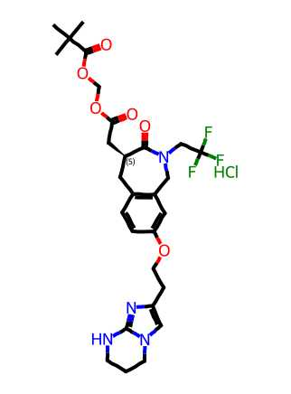 CC(C)(C)C(=O)OCOC(=O)C[C@@H]1Cc2ccc(OCCc3cn4c(n3)NCCC4)cc2CN(CC(F)(F)F)C1=O.Cl